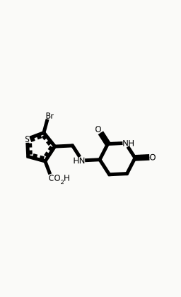 O=C1CCC(NCc2c(C(=O)O)csc2Br)C(=O)N1